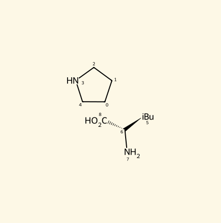 C1CCNC1.CC[C@H](C)[C@H](N)C(=O)O